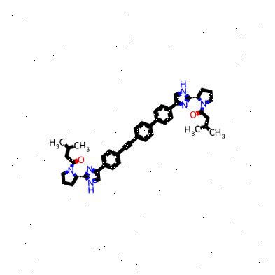 CC(C)CC(=O)N1CCC[C@H]1c1nc(-c2ccc(C#Cc3ccc(-c4ccc(-c5c[nH]c([C@@H]6CCCN6C(=O)CC(C)C)n5)cc4)cc3)cc2)c[nH]1